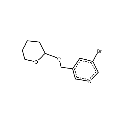 Brc1cncc(COC2CCCCO2)c1